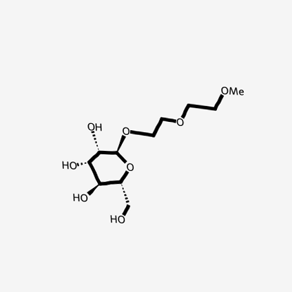 COCCOCCO[C@H]1O[C@H](CO)[C@@H](O)[C@H](O)[C@@H]1O